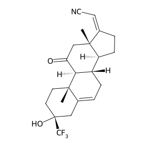 C[C@]12CC[C@](O)(C(F)(F)F)CC1=CC[C@@H]1[C@@H]2C(=O)C[C@]2(C)/C(=C\C#N)CC[C@@H]12